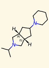 CC(C)N1C[C@H]2CC(N3CCCCC3)C[C@H]2C1